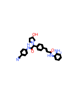 N#Cc1ccc(NC(=O)C(c2ccc(C=CC(=O)Nc3ccccc3N)cc2)N2CC[C@H](O)C2)cc1